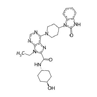 CCn1c(C(=O)N[C@H]2CC[C@H](O)CC2)nc2c(N3CCC(n4c(=O)[nH]c5ccccc54)CC3)ncnc21